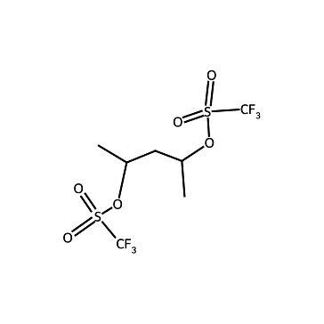 CC(CC(C)OS(=O)(=O)C(F)(F)F)OS(=O)(=O)C(F)(F)F